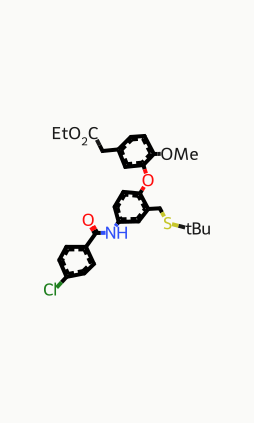 CCOC(=O)Cc1ccc(OC)c(Oc2ccc(NC(=O)c3ccc(Cl)cc3)cc2CSC(C)(C)C)c1